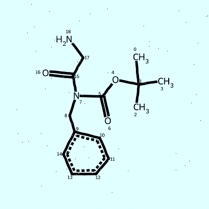 CC(C)(C)OC(=O)N(Cc1ccccc1)C(=O)CN